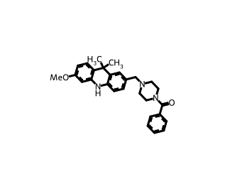 COc1ccc2c(c1)Nc1ccc(CN3CCN(C(=O)c4ccccc4)CC3)cc1C2(C)C